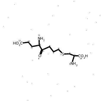 NC(CSCCCC(=O)C(N)CCC(=O)O)C(=O)O